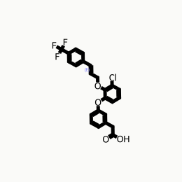 O=C(O)Cc1cccc(Oc2cccc(Cl)c2OC/C=C/c2ccc(C(F)(F)F)cc2)c1